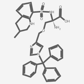 CC1CNc2c(cccc2S(=O)(=O)N[C@](N)(COCc2cn(C(c3ccccc3)(c3ccccc3)c3ccccc3)cn2)C(=O)O)C1